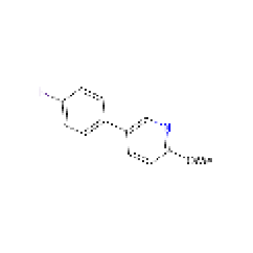 COc1ccc(-c2ccc(I)cc2)cn1